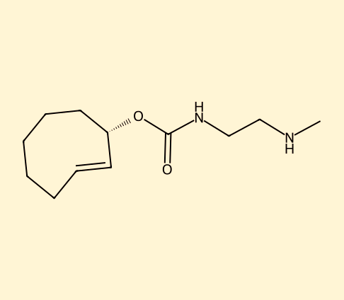 CNCCNC(=O)O[C@@H]1/C=C/CCCCC1